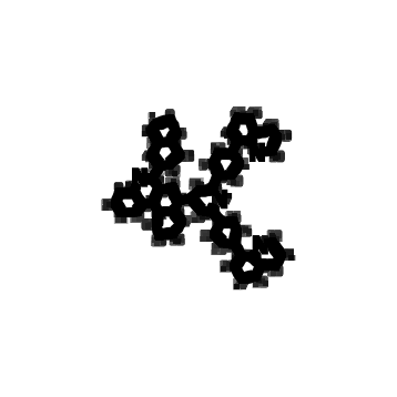 c1ccc2cc(-c3nc4ccccc4c4c3cc(-c3cc(-c5ccc(-c6cccc7cccnc67)cc5)nc(-c5ccc(-c6cccc7cccnc67)cc5)c3)c3ccccc34)ccc2c1